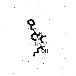 CCCC[C@@](C)(O)NC(=O)c1c(C)nc2c(OCc3ccccc3)cccn12